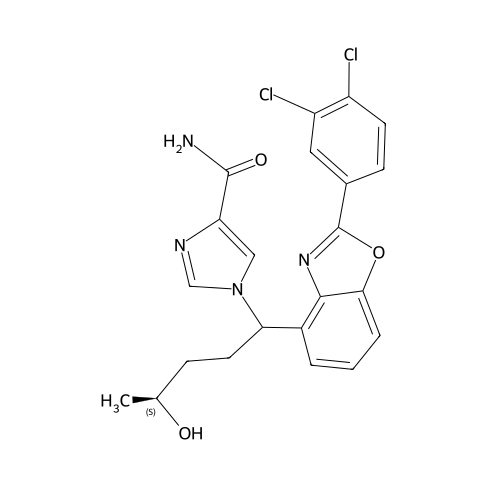 C[C@H](O)CCC(c1cccc2oc(-c3ccc(Cl)c(Cl)c3)nc12)n1cnc(C(N)=O)c1